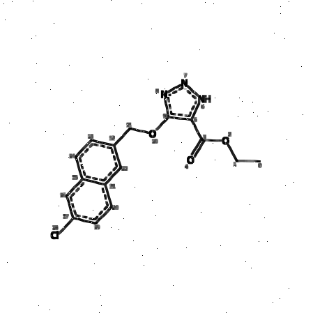 CCOC(=O)c1[nH]nnc1OCc1ccc2cc(Cl)ccc2c1